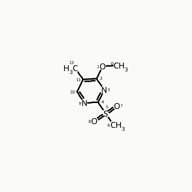 COc1nc(S(C)(=O)=O)ncc1C